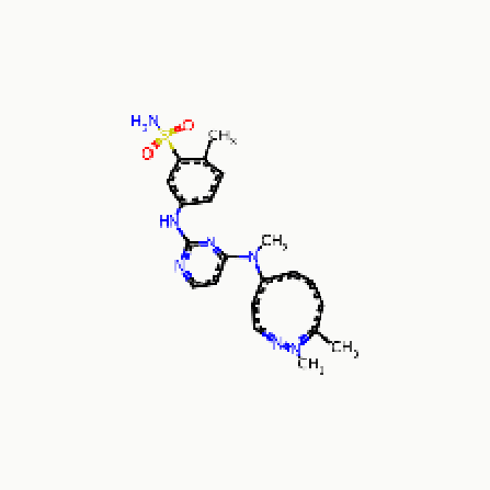 Cc1ccc(Nc2nccc(N(C)c3cccc(C)n(C)ncc3)n2)cc1S(N)(=O)=O